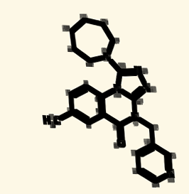 Cc1ccc2c(c1)c(=O)n(Cc1cccnc1)c1nnc(N3CCCCCC3)n21